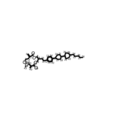 C=C(CCO)C(=O)OCC(CCc1ccc(C2CCC(C3CCC(CCCCC)CC3)CC2)cc1)COC(=O)C(=C)COC